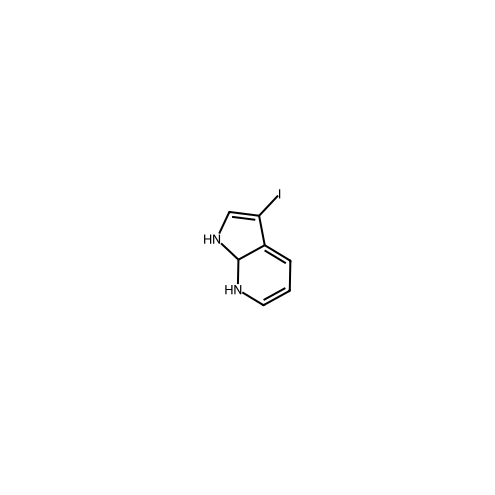 IC1=CNC2NC=CC=C12